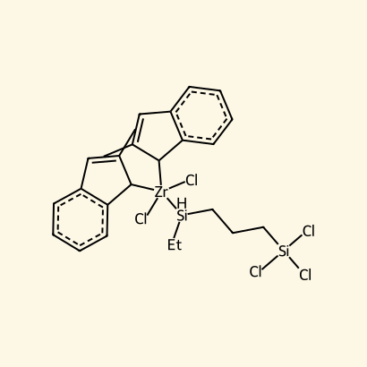 CC[SiH](CCC[Si](Cl)(Cl)Cl)[Zr]([Cl])([Cl])([CH]1C(C)=Cc2ccccc21)[CH]1C(C)=Cc2ccccc21